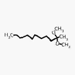 CCCCCCCCCC(C)(OC)OC